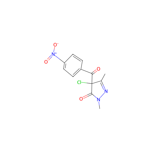 CC1=NN(C)C(=O)C1(Cl)C(=O)c1ccc([N+](=O)[O-])cc1